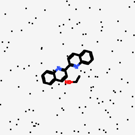 CCO.c1ccc2nc(-c3ccc4ccccc4n3)ccc2c1